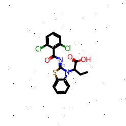 CCC(C(=O)O)n1/c(=N/C(=O)c2c(Cl)cccc2Cl)sc2ccccc21